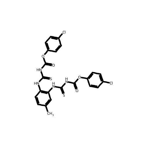 Cc1ccc(NC(=S)NC(=O)Oc2ccc(Cl)cc2)c(NC(=S)NC(=O)Oc2ccc(Cl)cc2)c1